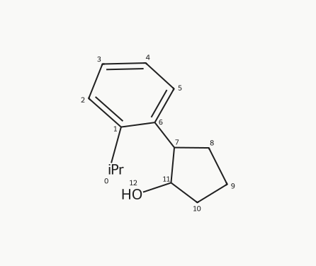 CC(C)c1ccccc1C1CCCC1O